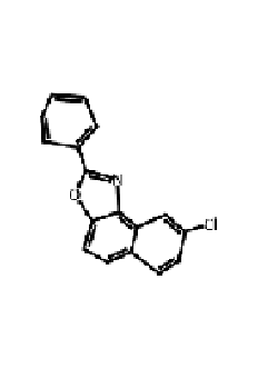 Clc1ccc2ccc3oc(-c4ccccc4)nc3c2c1